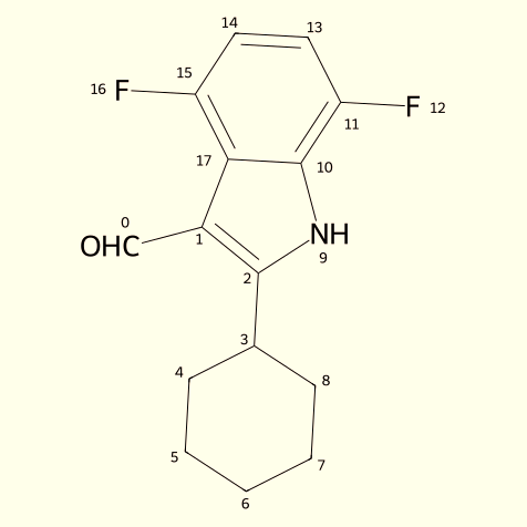 O=Cc1c(C2CCCCC2)[nH]c2c(F)ccc(F)c12